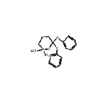 N[Si]1(N)CCCC(Oc2ccccc2)(Oc2ccccc2)O1